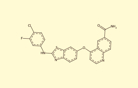 NC(=O)c1ccc2nccc(Oc3ccc4nc(Nc5ccc(Cl)c(F)c5)sc4c3)c2c1